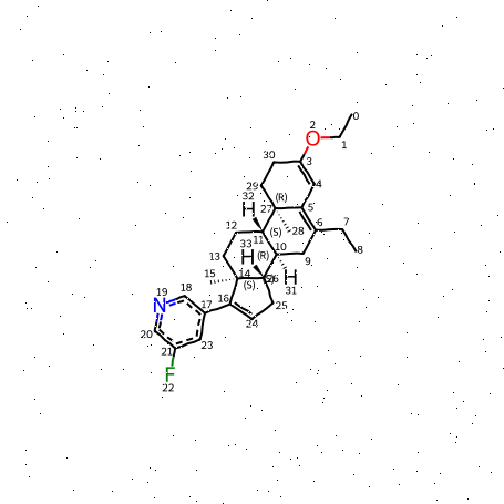 CCOC1=CC2=C(CC)C[C@@H]3[C@H](CC[C@]4(C)C(c5cncc(F)c5)=CC[C@@H]34)[C@@]2(C)CC1